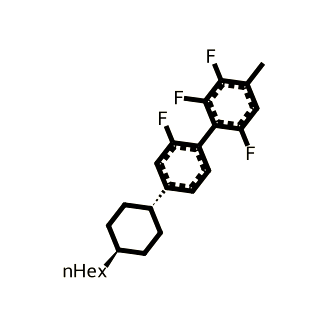 CCCCCC[C@H]1CC[C@H](c2ccc(-c3c(F)cc(C)c(F)c3F)c(F)c2)CC1